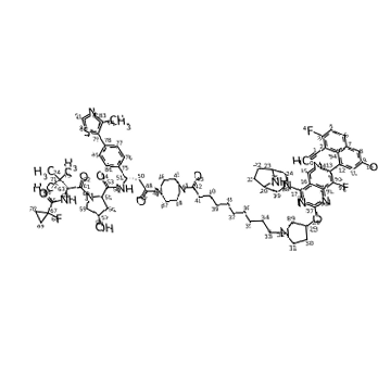 C#Cc1c(F)ccc2cc(O)cc(-c3ncc4c(N5CC6CCC(C5)N6)nc(OC5CCN(CCCCCCCCCC(=O)N6CCN(C(=O)C[C@H](NC(=O)C7C[C@@H](O)CN7C(=O)[C@@H](NC(=O)C7(F)CC7)C(C)(C)C)c7ccc(-c8scnc8C)cc7)CC6)C5)nc4c3F)c12